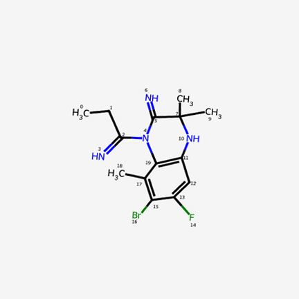 CCC(=N)N1C(=N)C(C)(C)Nc2cc(F)c(Br)c(C)c21